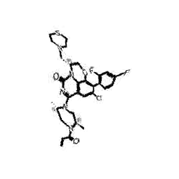 C=CC(=O)N1C[C@H](C)N(c2nc(=O)n3c4c(c(-c5ccc(F)cc5F)c(Cl)cc24)OC[C@H]3CN2CCSCC2)C[C@H]1C